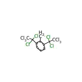 [CH2]c1c(C(Cl)(Cl)C(Cl)(Cl)Cl)cccc1C(Cl)(Cl)C(Cl)(Cl)Cl